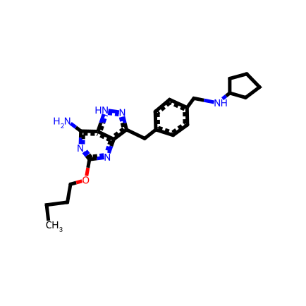 CCCCOc1nc(N)c2[nH]nc(Cc3ccc(CNC4CCCC4)cc3)c2n1